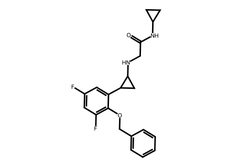 O=C(CNC1CC1c1cc(F)cc(F)c1OCc1ccccc1)NC1CC1